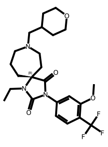 CCN1C(=O)N(c2ccc(C(F)(F)F)c(OC)c2)C(=O)[C@]12CCCN(CC1CCOCC1)CC2